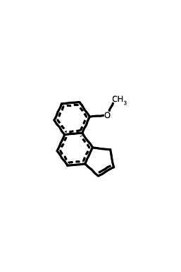 COc1cccc2ccc3c(c12)CC=C3